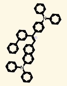 C(=C(\c1ccc(N(c2ccccc2)c2ccccc2)cc1)c1cccc(-c2ccccc2)c1)/c1ccc2cc(N(c3ccccc3)c3ccccc3)ccc2c1